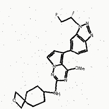 COc1nc(NC2CCC3(CC2)COC3)nn2ccc(-c3ccc4nnn([C@@H](C)CF)c4c3)c12